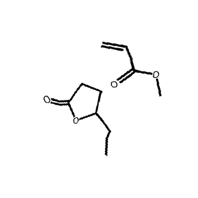 C=CC(=O)OC.CCC1CCC(=O)O1